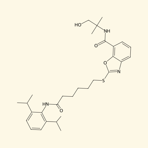 CC(C)c1cccc(C(C)C)c1NC(=O)CCCCCSc1nc2cccc(C(=O)NC(C)(C)CO)c2o1